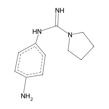 N=C(Nc1ccc(N)cc1)N1CCCC1